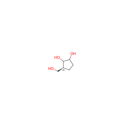 OC[C@@H]1CCC(O)C1O